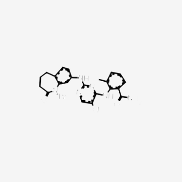 Cc1cccc(C(N)=O)c1Nc1nc(Nc2ccc3c(c2)N(C(C)C)C(=O)CCC3)ncc1Cl